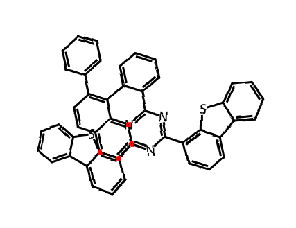 c1ccc(-c2ccc3ccccc3c2-c2ccccc2-c2nc(-c3cccc4c3sc3ccccc34)nc(-c3cccc4c3sc3ccccc34)n2)cc1